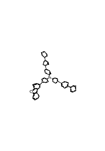 c1ccc(-c2ccc(-c3ccc(N(c4ccc(-c5ccc(-c6ccccc6)cc5)cc4)c4ccc(-c5ccc6oc7ccccc7c6c5)cc4)cc3)cc2)cc1